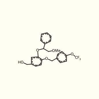 COCC(Oc1cc(CO)ccc1OCc1ccc(OC(F)(F)F)cc1)c1ccccc1